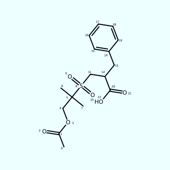 CC(=O)OCC(C)(C)S(=O)(=O)CC(Cc1ccccc1)C(=O)O